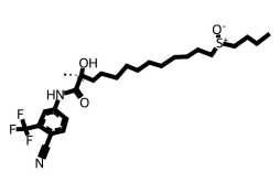 CCCC[S+]([O-])CCCCCCCCCCC[C@](C)(O)C(=O)Nc1ccc(C#N)c(C(F)(F)F)c1